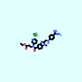 CCOC(=O)CCN(C(=O)c1ccc2c(c1)nc(CNc1ccc(C(=N)N)cc1)n2C)c1cccnc1.Cl.Cl